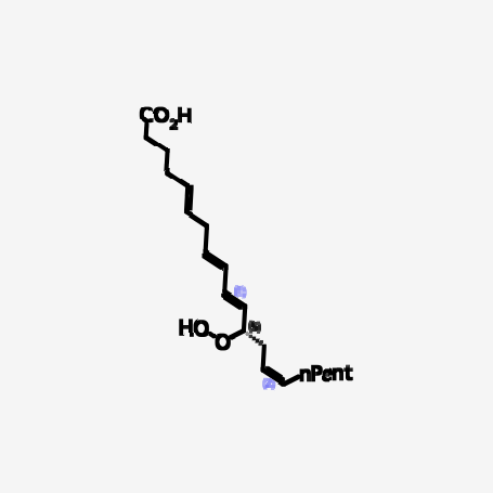 CCCCC/C=C\C[C@@H](/C=C/C=CCC=CCCCC(=O)O)OO